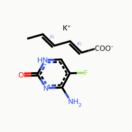 C/C=C/C=C/C(=O)[O-].Nc1nc(=O)[nH]cc1F.[K+]